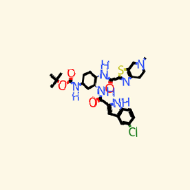 CN1CCc2nc(C(=O)N[C@H]3CCC(NC(=O)OC(C)(C)C)C[C@H]3NC(=O)c3cc4cc(Cl)ccc4[nH]3)sc2C1